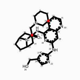 O=C(CN1CCCCC1)N1C2CCC1CC(Nc1nc(Nc3ncc(CO)s3)cc3ncccc13)C2